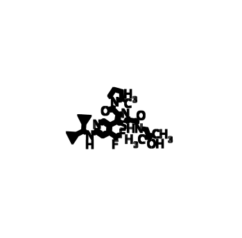 C[C@H]1CCCN1C(=O)c1nc(C(=O)NCC(C)(C)O)sc1-c1cnc(NC(C2CC2)C2CC2)cc1C(F)F